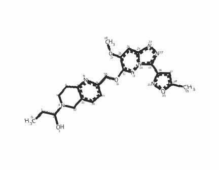 CCC(O)N1CCc2nc(COc3nn4c(-c5cc(C)on5)nnc4cc3OC)ccc2C1